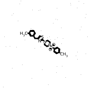 Cc1ccc(S(=O)(=O)N2CCN(c3nc(Cc4cccc(C)c4)cs3)CC2)cc1